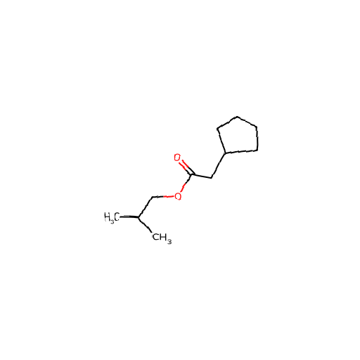 CC(C)COC(=O)CC1CCCC1